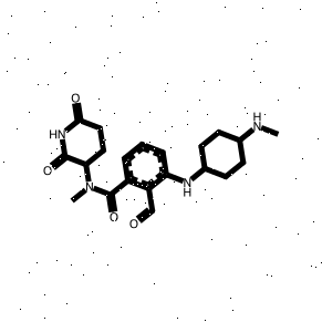 CNC1CCC(Nc2cccc(C(=O)N(C)C3CCC(=O)NC3=O)c2C=O)CC1